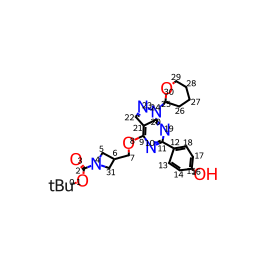 CC(C)(C)OC(=O)N1CC(COc2nc(-c3ccc(O)cc3)nc3c2cnn3C2CCCCO2)C1